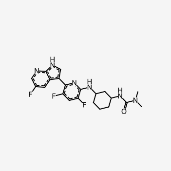 CN(C)C(=O)NC1CCCC(Nc2nc(-c3c[nH]c4ncc(F)cc34)c(F)cc2F)C1